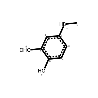 CBc1ccc(O)c(C=O)c1